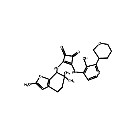 Cc1cc2c(o1)C(Nc1c(Nc3ccnc(C4CCCOC4)c3O)c(=O)c1=O)C(C)(C)CC2